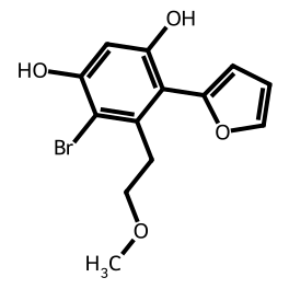 COCCc1c(Br)c(O)cc(O)c1-c1ccco1